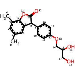 Cc1cc(C)c2c(c1)C(c1ccc(OCC(O)CO)cc1)C(=O)O2